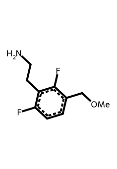 COCc1ccc(F)c(CCN)c1F